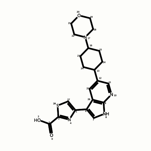 O=C(O)c1nc(-c2c[nH]c3ncc(C4CCC(N5CCOCC5)CC4)cc23)cs1